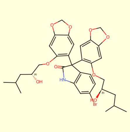 CC(C)C[C@@H](O)COc1cc2c(cc1C1(c3cc4c(cc3OC[C@H](O)CC(C)C)OCO4)C(=O)Nc3cc(Br)ccc31)OCO2